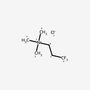 C[N+](C)(C)CCC(F)(F)F.[Cl-]